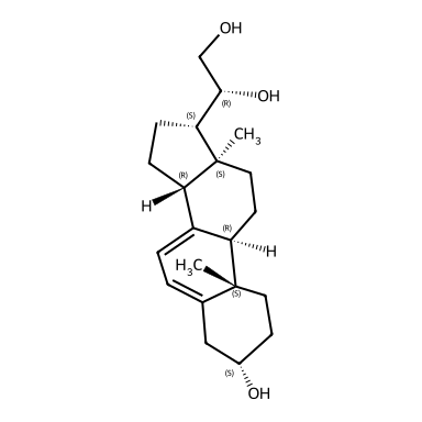 C[C@]12CC[C@@H]3C(=CC=C4C[C@@H](O)CC[C@]43C)[C@@H]1CC[C@@H]2[C@@H](O)CO